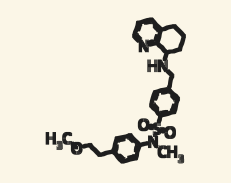 COCCc1ccc(N(C)S(=O)(=O)c2ccc(CNC3CCCc4cccnc43)cc2)cc1